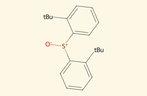 CC(C)(C)c1ccccc1[S+]([O-])c1ccccc1C(C)(C)C